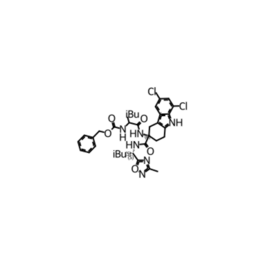 CCC(C)C(NC(=O)OCc1ccccc1)C(=O)N[C@]1(C(=O)N[C@H](c2nc(C)no2)[C@@H](C)CC)CCc2[nH]c3c(Cl)cc(Cl)cc3c2C1